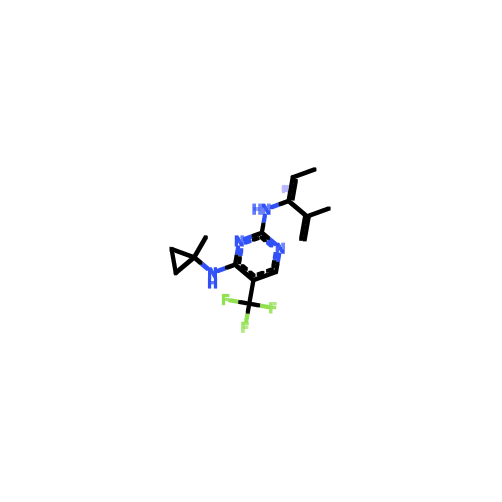 C=C(C)/C(=C\C)Nc1ncc(C(F)(F)F)c(NC2(C)CC2)n1